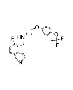 Fc1ccc2cnccc2c1CN[C@H]1C[C@H](Oc2ccc(OC(F)(F)F)cc2)C1